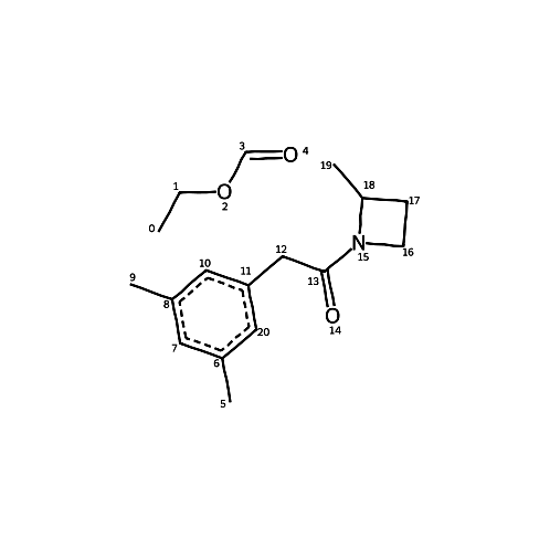 CCOC=O.Cc1cc(C)cc(CC(=O)N2CCC2C)c1